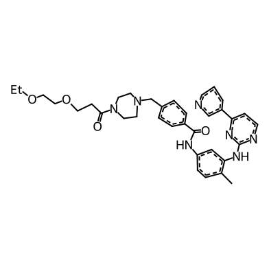 CCOCCOCCC(=O)N1CCN(Cc2ccc(C(=O)Nc3ccc(C)c(Nc4nccc(-c5cccnc5)n4)c3)cc2)CC1